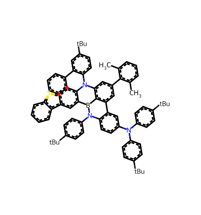 Cc1cccc(C)c1-c1cc2c3c(c1)N(c1ccc(C(C)(C)C)cc1-c1ccccc1)c1cc4sc5ccccc5c4cc1B3N(c1ccc(C(C)(C)C)cc1)c1ccc(N(c3ccc(C(C)(C)C)cc3)c3ccc(C(C)(C)C)cc3)cc1-2